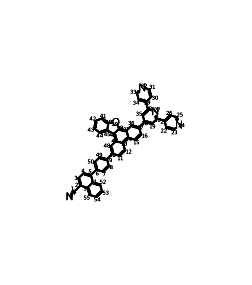 N#Cc1ccc(-c2ccc(-c3ccc4c5ccc(-c6cc(-c7ccncc7)nc(-c7ccncc7)c6)cc5c5oc6ccccc6c5c4c3)cc2)c2ccccc12